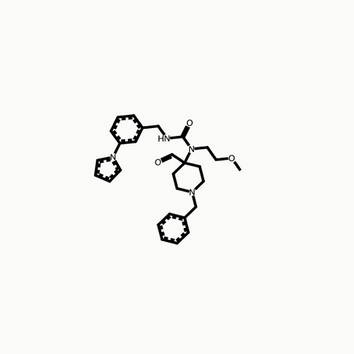 COCCN(C(=O)NCc1cccc(-n2cccc2)c1)C1(C=O)CCN(Cc2ccccc2)CC1